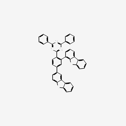 c1ccc(-c2nc(-c3ccccc3)nc(-c3ccc(-c4ccc5sc6ccccc6c5c4)cc3-c3cccc4c3sc3ccccc34)n2)cc1